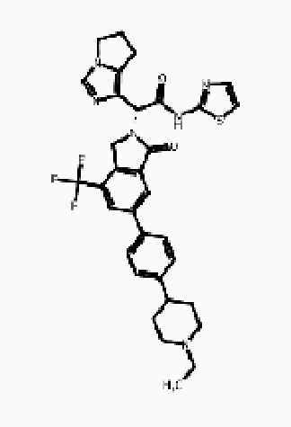 CCN1CCC(c2ccc(-c3cc4c(c(C(F)(F)F)c3)CN([C@@H](C(=O)Nc3nccs3)c3ncn5c3CCC5)C4=O)cc2)CC1